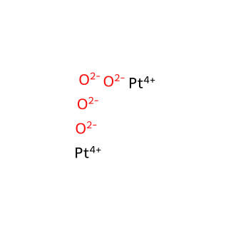 [O-2].[O-2].[O-2].[O-2].[Pt+4].[Pt+4]